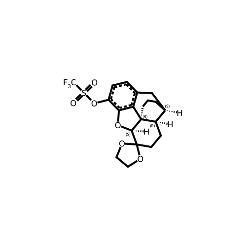 O=S(=O)(Oc1ccc2c3c1O[C@@H]1C4(CC[C@@H]5[C@@H](CCC[C@]351)C2)OCCO4)C(F)(F)F